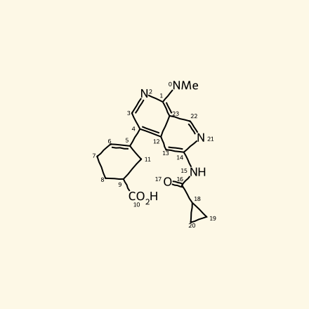 CNc1ncc(C2=CCCC(C(=O)O)C2)c2cc(NC(=O)C3CC3)ncc12